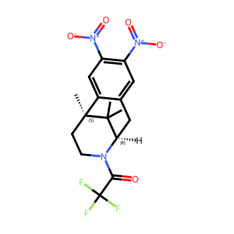 CC1(C)[C@H]2Cc3cc([N+](=O)[O-])c([N+](=O)[O-])cc3[C@]1(C)CCN2C(=O)C(F)(F)F